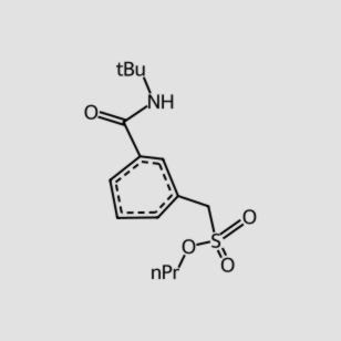 CCCOS(=O)(=O)Cc1cccc(C(=O)NC(C)(C)C)c1